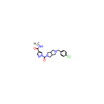 CNC(=O)c1cnn(C(=O)N2CC3CN(Cc4ccc(Cl)cc4)CC3C2)c1